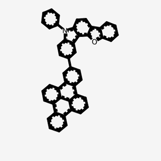 c1ccc(-n2c3ccc(-c4ccc5c(c4)c4cccc6c7ccccc7c7cccc5c7c64)cc3c3c4oc5ccccc5c4ccc32)cc1